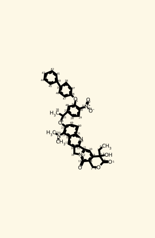 CCC1(O)C(=O)OCc2c1cc1n(c2=O)Cc2cc3c(N(C)C)c(OC(C)c4ccc([N+](=O)[O-])c(Oc5ccc(-c6ccccc6)cc5)c4)ccc3nc2-1